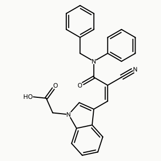 N#CC(=Cc1cn(CC(=O)O)c2ccccc12)C(=O)N(Cc1ccccc1)c1ccccc1